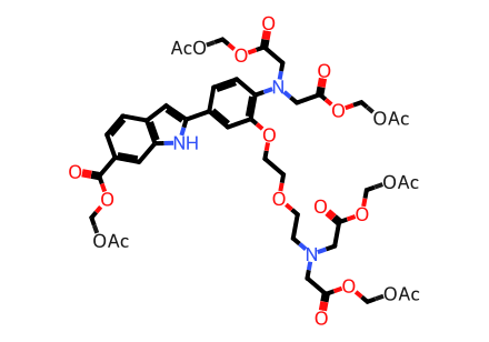 CC(=O)OCOC(=O)CN(CCOCCOc1cc(-c2cc3ccc(C(=O)OCOC(C)=O)cc3[nH]2)ccc1N(CC(=O)OCOC(C)=O)CC(=O)OCOC(C)=O)CC(=O)OCOC(C)=O